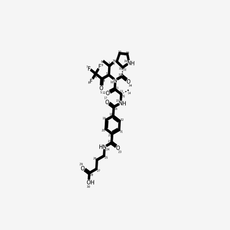 CC(C)C(C(=O)C(F)(F)F)N(C(=O)[C@H](C)NC(=O)c1ccc(C(=O)NCCCC(=O)O)cc1)C(=O)[C@@H]1CCCN1